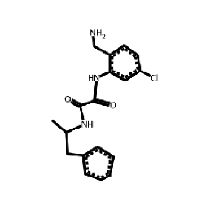 CC(Cc1ccccc1)NC(=O)C(=O)Nc1cc(Cl)ccc1CN